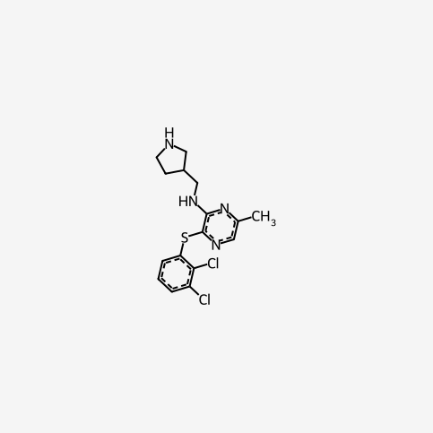 Cc1cnc(Sc2cccc(Cl)c2Cl)c(NCC2CCNC2)n1